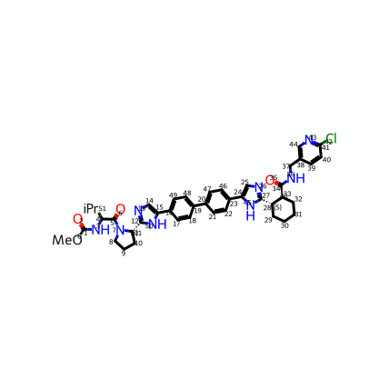 COC(=O)NC(C(=O)N1CCC[C@H]1c1ncc(-c2ccc(-c3ccc(-c4cnc([C@H]5CCCC[C@@H]5C(=O)NCc5ccc(Cl)nc5)[nH]4)cc3)cc2)[nH]1)C(C)C